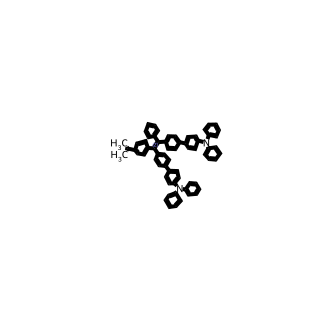 CC(C)c1ccc(/C(=C(\c2ccccc2)c2ccc(-c3ccc(N(c4ccccc4)c4ccccc4)cc3)cc2)c2ccc(-c3ccc(N(c4ccccc4)c4ccccc4)cc3)cc2)cc1